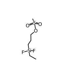 CC[Si](F)(F)CCCOS(C)(=O)=O